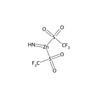 [NH]=[Zn]([S](=O)(=O)C(F)(F)F)[S](=O)(=O)C(F)(F)F